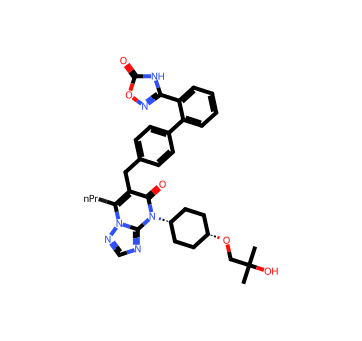 CCCc1c(Cc2ccc(-c3ccccc3-c3noc(=O)[nH]3)cc2)c(=O)n([C@H]2CC[C@@H](OCC(C)(C)O)CC2)c2ncnn12